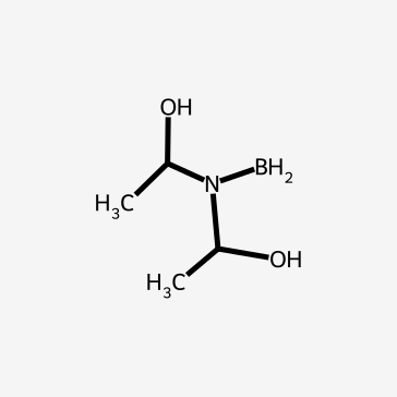 BN(C(C)O)C(C)O